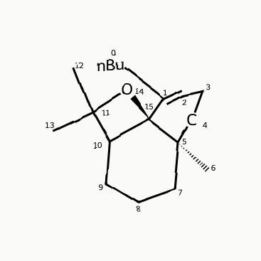 CCCCC1=CCC[C@@]2(C)CCCC3C(C)(C)O[C@]132